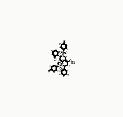 CCOC1=C2CN(S(=O)(=O)c3ccc(C)cc3)[C@H](c3ccccc3Cl)C[C@@H]2N(S(=O)(=O)c2ccc(C)cc2)[C@H](c2ccccc2)C1